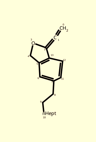 C=C=C1OCc2cc(CCCCCCCCC)ccc21